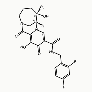 CC[C@]1(O)CCCN2C[C@H]1n1cc(C(=O)NCc3ccc(F)cc3F)c(=O)c(O)c1C2=O